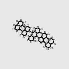 c1ccc2c(-c3ccc4c5cccc6cccc(c7cccc3c74)c65)c3cnccc3c(-c3ccc4c5cccc6cccc(c7cccc3c74)c65)c2c1